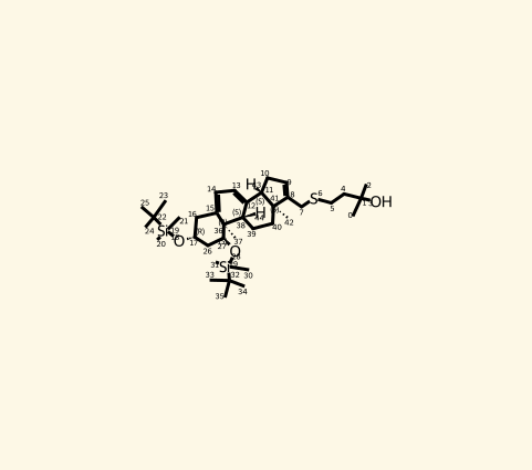 CC(C)(O)CCSCC1=CC[C@H]2C3=CC=C4C[C@@H](O[Si](C)(C)C(C)(C)C)C[C@H](O[Si](C)(C)C(C)(C)C)[C@]4(C)[C@H]3CC[C@]12C